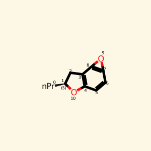 CCC[C@H]1Cc2c(ccc3c2O3)O1